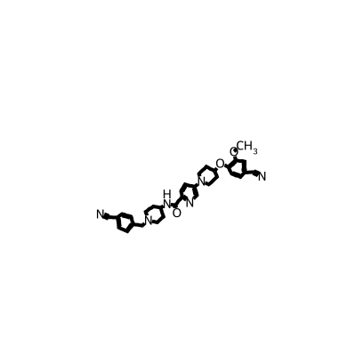 COc1cc(C#N)ccc1OC1CCN(c2ccc(C(=O)NC3CCN(Cc4ccc(C#N)cc4)CC3)nc2)CC1